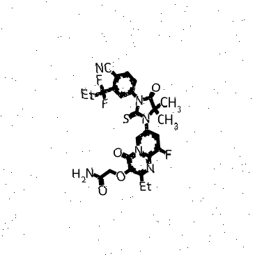 CCc1nc2c(F)cc(N3C(=S)N(c4ccc(C#N)c(C(F)(F)CC)c4)C(=O)C3(C)C)cn2c(=O)c1OCC(N)=O